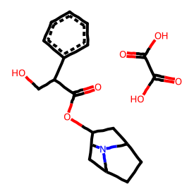 CN1C2CCC1CC(OC(=O)C(CO)c1ccccc1)C2.O=C(O)C(=O)O